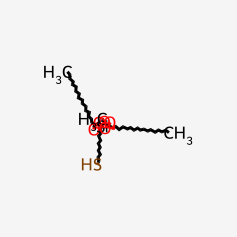 CCCCCCCCCCCCCCCCCC(=O)O[Si](CCCCCCCCCCS)(OC)OC(=O)CCCCCCCCCCCCCCCCC